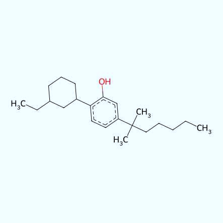 CCCCCC(C)(C)c1ccc(C2CCCC(CC)C2)c(O)c1